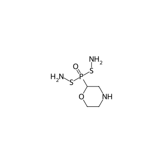 NSP(=O)(SN)C1CNCCO1